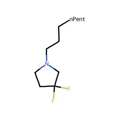 CCCCCCCCN1CCC(F)(F)C1